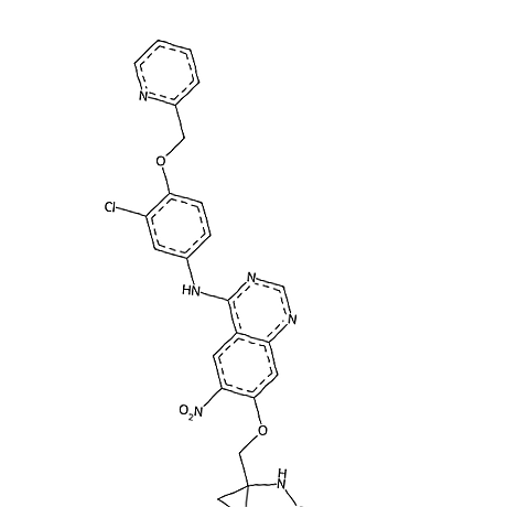 O=C(O)NC1(COc2cc3ncnc(Nc4ccc(OCc5ccccn5)c(Cl)c4)c3cc2[N+](=O)[O-])CC1